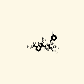 Cc1nn2c(C(N)=O)cccc2c1-c1nnc(N(C)C)c(NCc2cccc(F)c2)n1